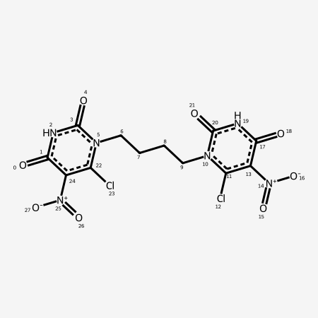 O=c1[nH]c(=O)n(CCCCn2c(Cl)c([N+](=O)[O-])c(=O)[nH]c2=O)c(Cl)c1[N+](=O)[O-]